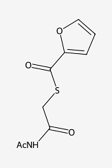 CC(=O)NC(=O)CSC(=O)c1ccco1